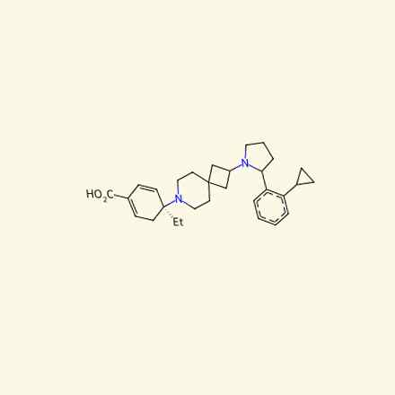 CC[C@@]1(N2CCC3(CC2)CC(N2CCCC2c2ccccc2C2CC2)C3)C=CC(C(=O)O)=CC1